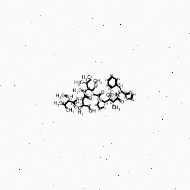 CC[C@H](C)[C@@H]([C@@H](CC(=O)N1CCC[C@H]1[C@H](OC)[C@@H](C)C(=O)N[C@@H](Cc1ccccc1)c1nccs1)OC)N(C)C(=O)[C@@H](NC(=O)[C@@H](NC)C(C)C)C(C)CO